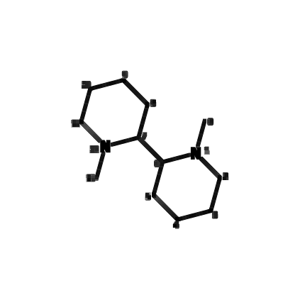 CN1CCCCC1C1CCCCN1C